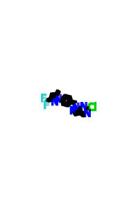 Cc1cc(C(F)F)nn1-c1ccc(Cn2ncc3cnc(Cl)nc32)cc1